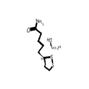 NC(=O)CCCC[C@@H]1CCSS1.O=S(=O)(O)O